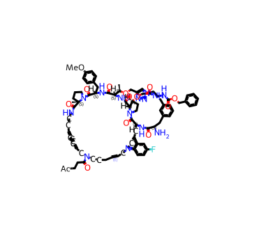 COc1ccc(C[C@@H]2NC(=O)[C@H]([C@@H](C)OCc3cn(CCNC(=O)OCc4ccccc4)nn3)NC(=O)[C@@H]3[C@@H]4CCN3C(=O)[C@H](Cc3cn(c5ccc(F)cc35)C/C=C/CCCN(C(=O)CCC(C)=O)Cc3ccc(cc3)CCNC(=O)[C@]3(C)CCCN3C2=O)NC(=O)[C@@H](N)Cc2cccc(c2)CNC(=O)CO4)cc1